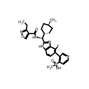 CCc1nocc1C(=O)N[C@H](c1nc2c(F)c(-c3cnccc3S(C)(=N)=O)ccc2[nH]1)[C@H]1CC[C@H](C)CC1